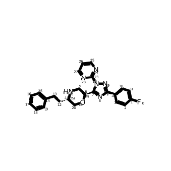 Fc1ccc(-c2nc([C@@H]3CN[C@@H](CCc4ccccc4)CO3)n(-c3ncccn3)n2)cc1